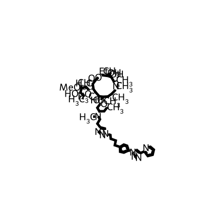 CC[C@H]1OC(=O)[C@H](C)[C@@H](C2C[C@@](C)(OC)[C@@H](O)[C@H](C)O2)[C@H](C)[C@@H](O[C@H]2C[C@@H](N(C)CCc3cn(CCCCc4ccc(-n5cc(-c6ccccn6)nn5)cc4)nn3)C[C@@H](C)O2)[C@](C)(O)C[C@@H](C)CN(C)[C@H](C)[C@@H](O)[C@]1(C)O